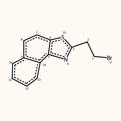 BrCCc1nc2c(ccc3ccccc32)s1